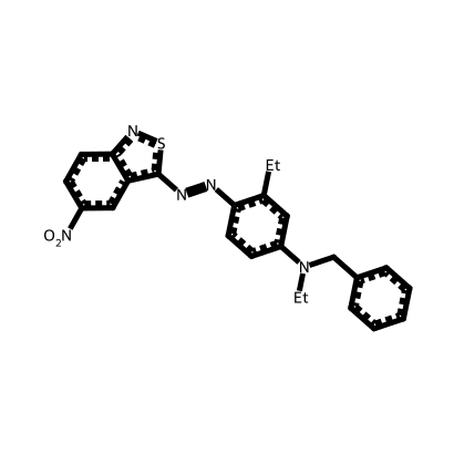 CCc1cc(N(CC)Cc2ccccc2)ccc1N=Nc1snc2ccc([N+](=O)[O-])cc12